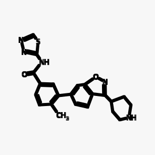 Cc1ccc(C(=O)Nc2nncs2)cc1-c1ccc2c(C3CCNCC3)noc2c1